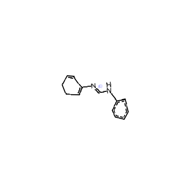 C1=CC(/N=C/Nc2ccccc2)=CCC1